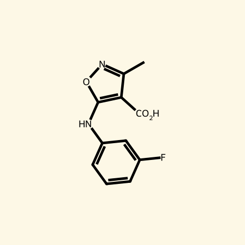 Cc1noc(Nc2cccc(F)c2)c1C(=O)O